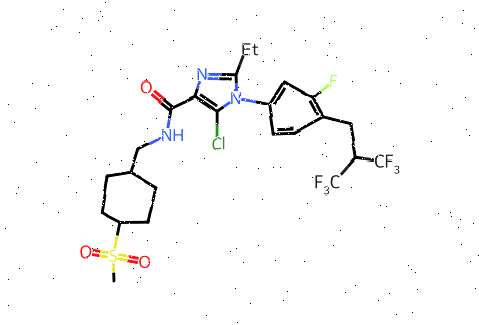 CCc1nc(C(=O)NCC2CCC(S(C)(=O)=O)CC2)c(Cl)n1-c1ccc(CC(C(F)(F)F)C(F)(F)F)c(F)c1